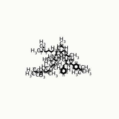 CCN(CC)CCCC[C@H](NC(=O)[C@H](CC(C)C)NC(=O)[C@H](C)NC(=O)[C@H](Cc1ccccc1)NC(=O)c1ccc(C(C)(C)C)cc1)C(=O)N[C@@H](CO)C(=O)NC(C)(C)COC(C)(C)CNC(=O)OC(C)(C)C